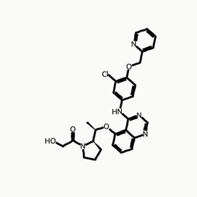 C[C@@H](Oc1cccc2ncnc(Nc3ccc(OCc4ccccn4)c(Cl)c3)c12)[C@H]1CCCN1C(=O)CO